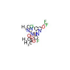 Cc1ncc(NC(=O)O[C@H](C)[C@H](C)Oc2cc3sc(-c4cc(Cl)cc5cc(OCC(F)F)cnc45)nc3cc2F)cn1